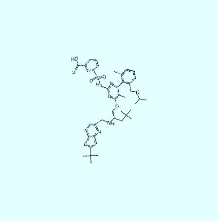 Cc1cccc(COC(C)C)c1-c1nc(NS(=O)(=O)c2cccc(C(=O)O)c2)nc(OC[C@@H](CC(C)(C)C)NCc2cnc3oc(C(C)(C)C)cc3n2)c1C